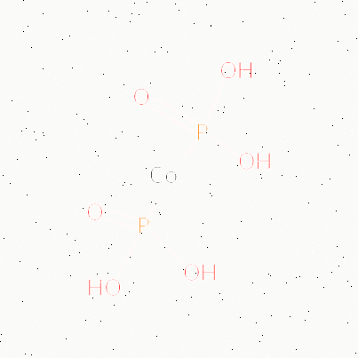 O=[P](O)(O)[Co][P](=O)(O)O